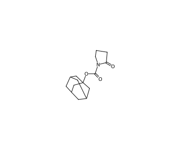 O=C1CCCN1C(=O)OC12CC3CC(CC(C3)C1)C2